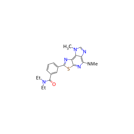 CCN(CC)C(=O)c1cccc(-c2nc3c(nc(NC)c4ncn(C)c43)s2)c1